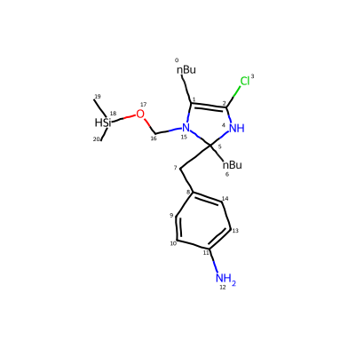 CCCCC1=C(Cl)NC(CCCC)(Cc2ccc(N)cc2)N1CO[SiH](C)C